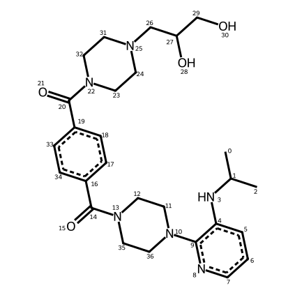 CC(C)Nc1cccnc1N1CCN(C(=O)c2ccc(C(=O)N3CCN(CC(O)CO)CC3)cc2)CC1